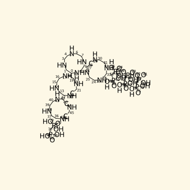 C1CNCCNCCNCCN1.C1CNCCNCCNCCN1.C1CNCCNCCNCCN1.C1CNCCNCCNCCN1.O=P(O)(O)CP(=O)(O)O.O=P(O)(O)CP(=O)(O)O.O=P(O)(O)CP(=O)(O)O.O=P(O)(O)CP(=O)(O)O